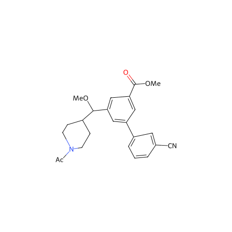 COC(=O)c1cc(-c2cccc(C#N)c2)cc(C(OC)C2CCN(C(C)=O)CC2)c1